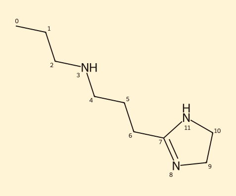 CCCNCCCC1=NCCN1